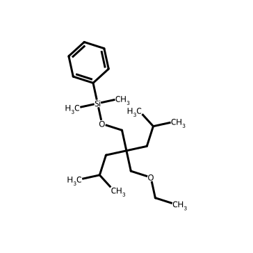 CCOCC(CO[Si](C)(C)c1ccccc1)(CC(C)C)CC(C)C